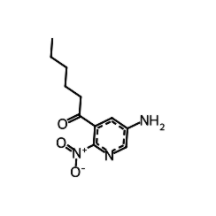 CCCCCC(=O)c1cc(N)cnc1[N+](=O)[O-]